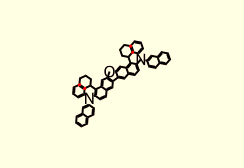 c1ccc(N(c2ccc3ccccc3c2)c2ccc3cc4c(cc3c2C2CCCCC2)oc2cc3c(C5CCCCC5)c(N(c5ccccc5)c5ccc6ccccc6c5)ccc3cc24)cc1